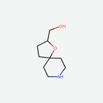 OCC1CCC2(CCNCC2)O1